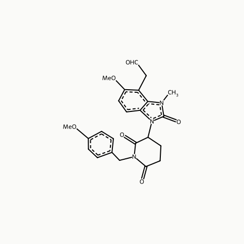 COc1ccc(CN2C(=O)CCC(n3c(=O)n(C)c4c(CC=O)c(OC)ccc43)C2=O)cc1